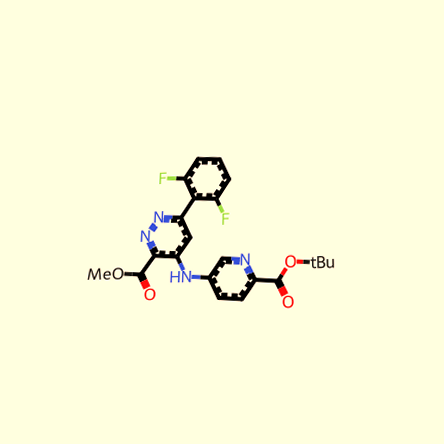 COC(=O)c1nnc(-c2c(F)cccc2F)cc1Nc1ccc(C(=O)OC(C)(C)C)nc1